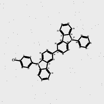 Clc1ccc(-n2c3ccccc3c3cc(-c4ccc5c(c4)c4ccccc4n5-c4ccccc4)ccc32)cc1